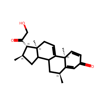 C[C@@H]1CC2C3C[C@H](C)C4=CC(=O)C=C[C@]4(C)C3=CC[C@]2(C)[C@H]1C(=O)CO